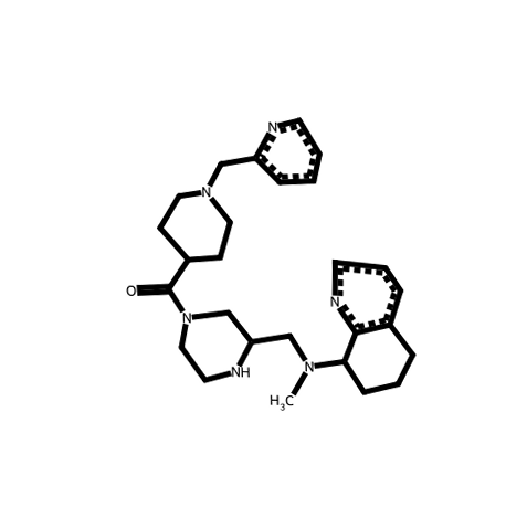 CN(CC1CN(C(=O)C2CCN(Cc3ccccn3)CC2)CCN1)C1CCCc2cccnc21